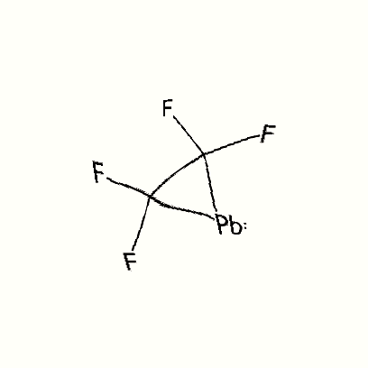 F[C]1(F)[Pb][C]1(F)F